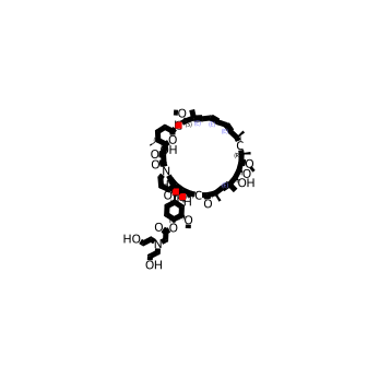 CO[C@H]1C[C@@H]2CC[C@@H](C)[C@@](O)(O2)C(=O)C(=O)N2CCCC3[C@H]2C(=O)O[C@@H](CC(=O)[C@H](C)/C=C(\C)[C@@H](O)[C@@H](OC)C(=O)[C@H](C)C[C@H](C)/C=C/C=C/C=C/1C)[C@H]3C[C@@H]1CC[C@@H](OC(=O)CN(CCO)CCO)[C@H](OC)C1